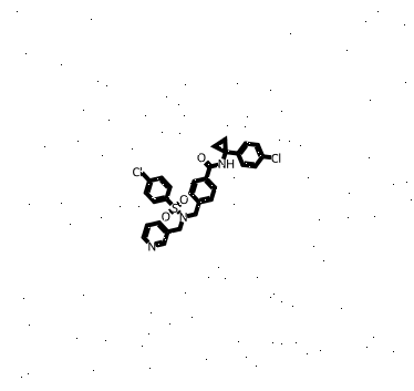 O=C(NC1(c2ccc(Cl)cc2)CC1)c1ccc(CN(Cc2cccnc2)S(=O)(=O)c2ccc(Cl)cc2)cc1